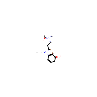 CC(=O)N(C)CCC1SC2=C(C=CCC2=O)N1C